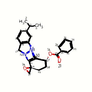 CC(C)c1ccc2c(c1)-n1c3c(n1C2)[C@]1(CC[C@H]3OC(=O)c2ccccc2)CO1